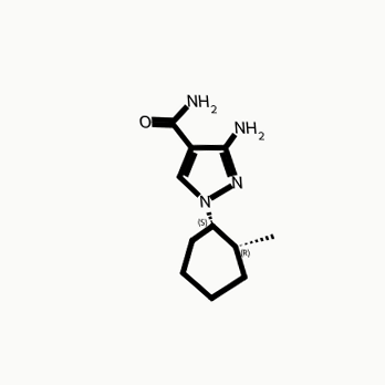 C[C@@H]1CCCC[C@@H]1n1cc(C(N)=O)c(N)n1